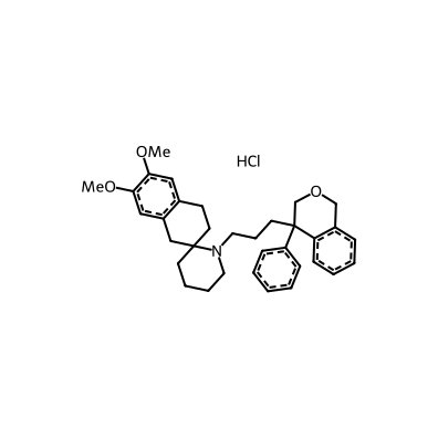 COc1cc2c(cc1OC)CC1(CCCCN1CCCC1(c3ccccc3)COCc3ccccc31)CC2.Cl